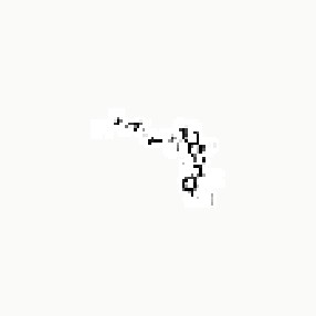 CCc1c2c(nc3ccc(O)cc13)-c1cc3c(c(=O)n1C2)COC(=O)[C@@]3(CC)OC(=O)OCC(C)(C)SSC(C)(C)COC(=O)C(C)C